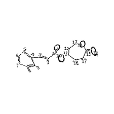 O=C(C=Cc1ccccc1)OC1CCOC(=O)CC1